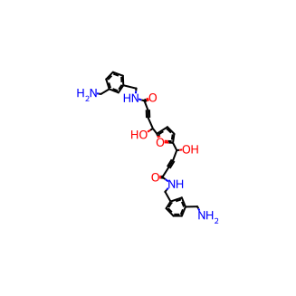 NCc1cccc(CNC(=O)C#CC(O)c2ccc(C(O)C#CC(=O)NCc3cccc(CN)c3)o2)c1